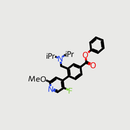 COc1cc(-c2ccc(C(=O)Oc3ccccc3)cc2CN(C(C)C)C(C)C)c(F)cn1